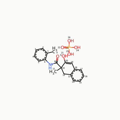 Cc1ccccc1NC(=O)C1(C)Cc2ccccc2C=C1O.O=P(O)(O)O